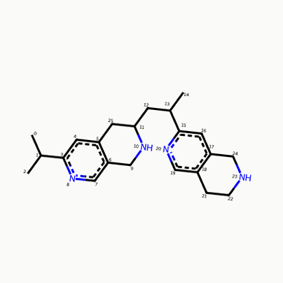 CC(C)c1cc2c(cn1)CNC(CC(C)c1cc3c(cn1)CCNC3)C2